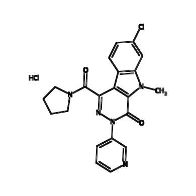 Cl.Cn1c2cc(Cl)ccc2c2c(C(=O)N3CCCC3)nn(-c3cccnc3)c(=O)c21